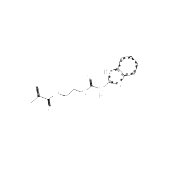 C=C(C)C(=O)OCCNC(=O)Nc1nc2ccccc2[nH]1